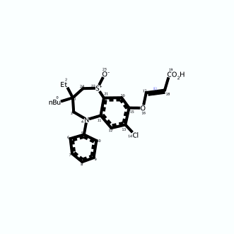 CCCCC1(CC)CN(c2ccccc2)c2cc(Cl)c(O/C=C/C(=O)O)cc2[S+]([O-])C1